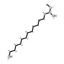 COP(O)OCCCCCCCCCCCCO